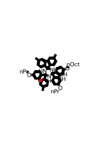 CCCCCCCCOc1ccc(C2(c3ccc(OCCC)cc3O)NC(c3ccc(C)cc3)(c3ccc(C)cc3C)NC(c3ccc(C)cc3)(c3ccc(OCCC)cc3O)N2)c(O)c1